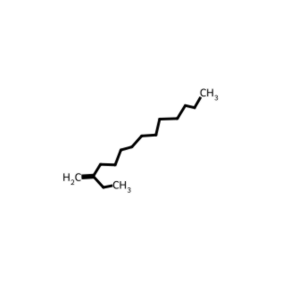 C=C(CC)CCCCCCCCCCC